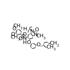 C=C/C=C\C(=C/C)COc1cccc(Oc2cc3c(cc2NS(=O)(=O)c2ccc(OC)c(OC)c2)n(C)c(=O)n3C)c1